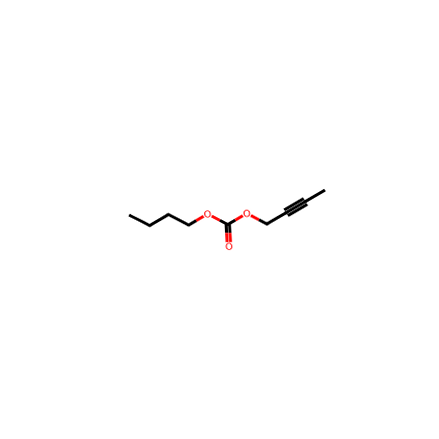 CC#CCOC(=O)OCCCC